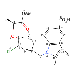 COC(=O)[C@H](C)Oc1ccc(Cn2c(C)c(C)c3cc(C(=O)O)ccc32)cc1Cl